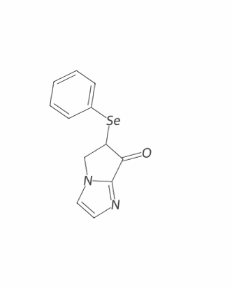 O=C1c2nccn2CC1[Se]c1ccccc1